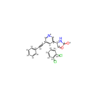 O=C1N[C@H](c2cncc(C#Cc3ccccc3)c2)[C@@H](c2cccc(Cl)c2Cl)O1